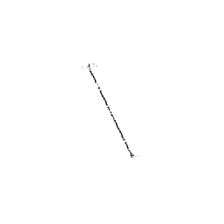 CC(C)(C)CCCOCCOCCOCCOCCOCCOCCOCCOCCOCCOCCOCCOCCOCCOCCOCCNC(C)(C)C